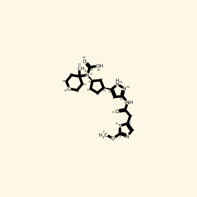 COc1ncc(CC(=O)Nc2cc([C@H]3CC[C@@H](N(C(=O)O)C4(C)CCOCC4)C3)[nH]n2)s1